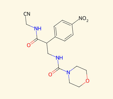 N#CCNC(=O)C(CNC(=O)N1CCOCC1)c1ccc([N+](=O)[O-])cc1